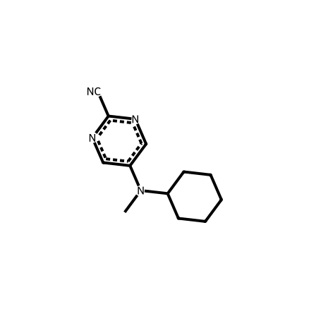 CN(c1cnc(C#N)nc1)C1CCCCC1